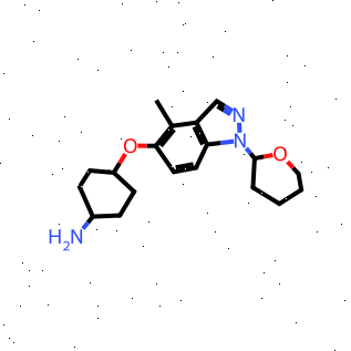 Cc1c(OC2CCC(N)CC2)ccc2c1cnn2C1CCCCO1